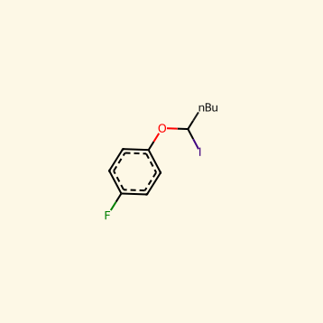 CCCCC(I)Oc1ccc(F)cc1